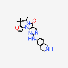 CC(C)n1c(=O)c2cnc(Nc3ccc4c(c3)CCNC4)nc2n1-c1ccoc1C(C)(C)C